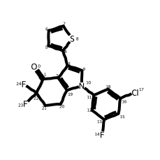 O=C1c2c(-c3cccs3)cn(-c3cc(F)cc(Cl)c3)c2CCC1(F)F